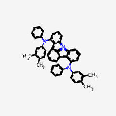 Cc1ccc(N(c2ccccc2)c2cccc3c2c2cccc4c5c(N(c6ccccc6)c6ccc(C)c(C)c6)cccc5n3c24)cc1C